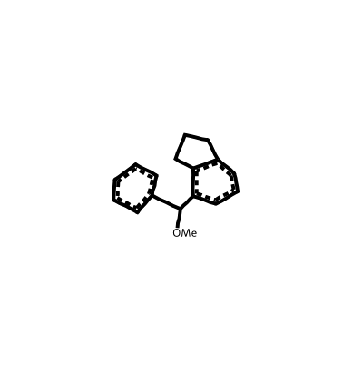 COC(c1ccccc1)c1cccc2c1CCC2